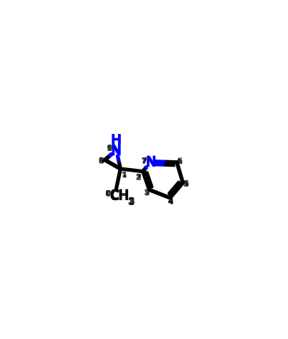 CC1(c2ccccn2)CN1